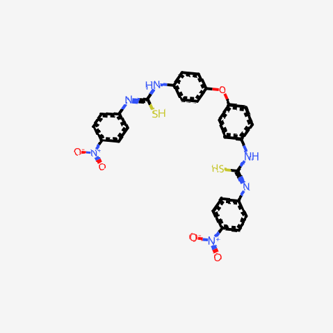 O=[N+]([O-])c1ccc(N=C(S)Nc2ccc(Oc3ccc(NC(S)=Nc4ccc([N+](=O)[O-])cc4)cc3)cc2)cc1